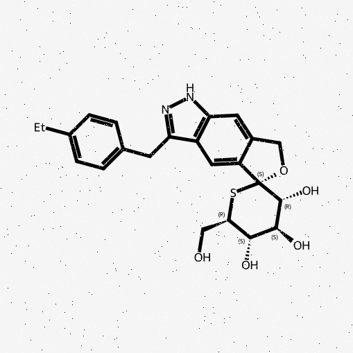 CCc1ccc(Cc2n[nH]c3cc4c(cc23)[C@]2(OC4)S[C@H](CO)[C@@H](O)[C@H](O)[C@H]2O)cc1